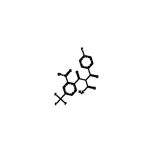 CC(=O)C(C(=O)c1ccc(F)cc1)C(=O)c1ccc(C(F)(F)F)cc1[N+](=O)[O-]